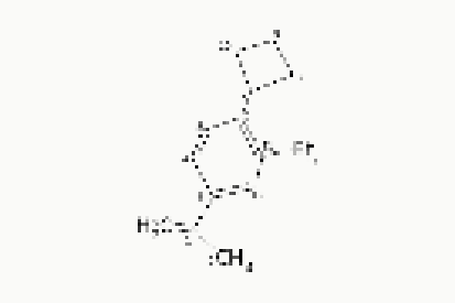 C=C(C)c1ccc(C2CCC2)c(CC)c1